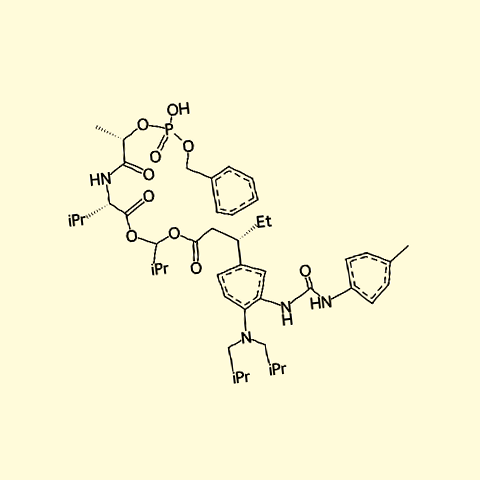 CC[C@@H](CC(=O)OC(OC(=O)[C@@H](NC(=O)[C@H](C)OP(=O)(O)OCc1ccccc1)C(C)C)C(C)C)c1ccc(N(CC(C)C)CC(C)C)c(NC(=O)Nc2ccc(C)cc2)c1